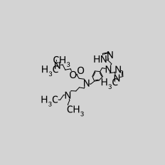 CCCN(CCC)CCCCN(CCC(=O)OCCCN(C)C)Cc1ccc(CN(Cc2ncc[nH]2)Cc2nccn2C)cc1